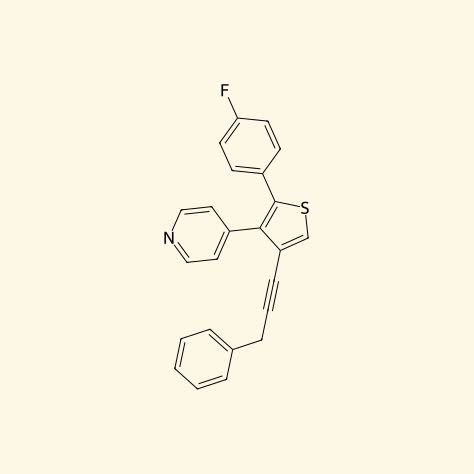 Fc1ccc(-c2scc(C#CCc3ccccc3)c2-c2ccncc2)cc1